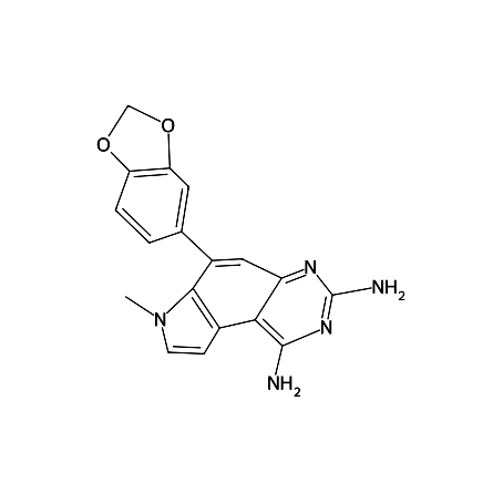 Cn1ccc2c3c(N)nc(N)nc3cc(-c3ccc4c(c3)OCO4)c21